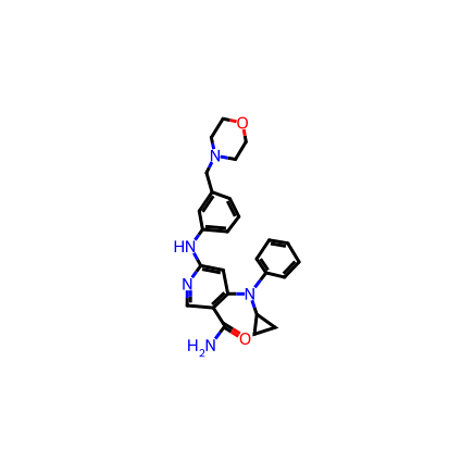 NC(=O)c1cnc(Nc2cccc(CN3CCOCC3)c2)cc1N(c1ccccc1)C1CC1